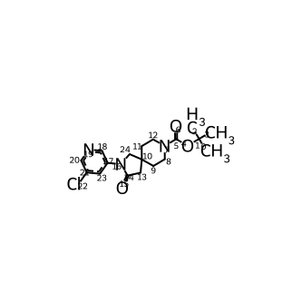 CC(C)(C)OC(=O)N1CCC2(CC1)CC(=O)N(c1cncc(Cl)c1)C2